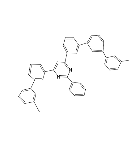 Cc1cccc(-c2cccc(-c3cccc(-c4cc(-c5cccc(-c6cccc(C)c6)c5)nc(-c5ccccc5)n4)c3)c2)c1